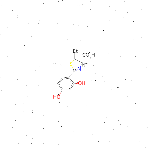 CCC1SC(c2ccc(O)cc2O)=N[C@@]1(C)C(=O)O